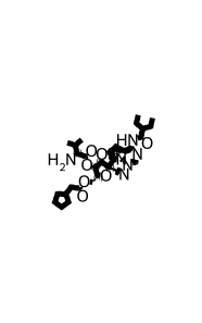 CCC(CC)C(=O)Nc1ncnn2c([C@]3(C#N)O[C@H](COC(=O)CC4CCCC4)[C@@H](OC(=O)[C@@H](N)C(C)C)[C@H]3O)ccc12